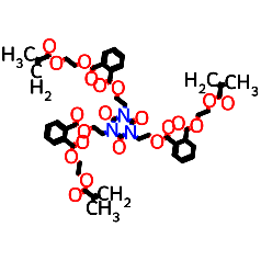 C=C(C)C(=O)OCCOC(=O)c1ccccc1C(=O)OCCn1c(=O)n(CCOC(=O)C2=CC=CCC2C(=O)OCCOC(=O)C(=C)C)c(=O)n(CCOC(=O)c2ccccc2C(=O)OCCOC(=O)C(=C)C)c1=O